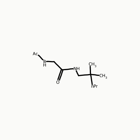 CCCC(C)(C)CNC(=O)CBC(C)=O